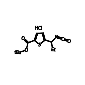 CCC(N=C=O)c1ccc(C(=O)OC(C)(C)C)s1.Cl